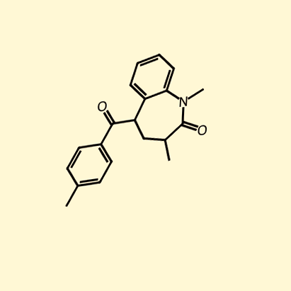 Cc1ccc(C(=O)C2CC(C)C(=O)N(C)c3ccccc32)cc1